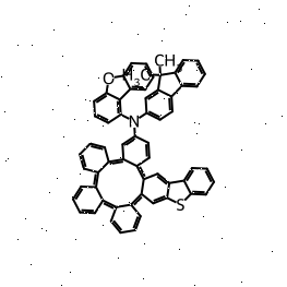 CC1(C)c2ccccc2-c2ccc(N(c3ccc4c(c3)c3ccccc3c3ccccc3c3ccccc3c3cc5sc6ccccc6c5cc43)c3cccc4oc5ccccc5c34)cc21